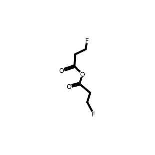 O=C(CCF)OC(=O)CCF